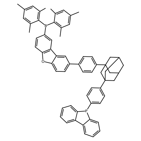 Cc1cc(C)c(B(c2ccc3oc4ccc(-c5ccc(C67CC8CC(C6)CC(c6ccc(-p9c%10ccccc%10c%10ccccc%109)cc6)(C8)C7)cc5)cc4c3c2)c2c(C)cc(C)cc2C)c(C)c1